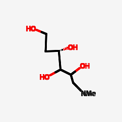 CNCC(O)C(O)[C@@H](O)CCO